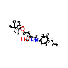 CCCc1ccc(NC[C@H](O)CCO[Si](C)(C)C(C)(C)C)cc1